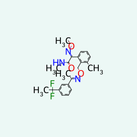 CNC(=O)/C(=N/OC)c1cccc(C)c1CO/N=C(\C)c1cccc(C(C)(F)F)c1